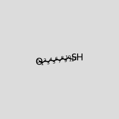 O=CCCCCCCCCCCS